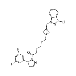 O=C(CCCCCC12CC(Cn3nc(Cl)c4ccccc43)(C1)C2)N1N=CCC1c1cc(F)cc(F)c1